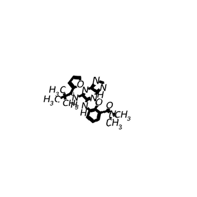 CN(C)C(=O)c1cccc(Nc2nc3c(nc2N[C@@H](c2ccco2)C(C)(C)C)=NCN=3)c1O